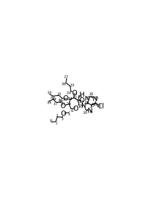 CCCCOC[C@H]1O[C@@H](n2cnc3c(Cl)ncnc32)[C@@](C)(O)[C@H](OCCCC)[C@@H](OCCCC)[C@@H]1OCCCC